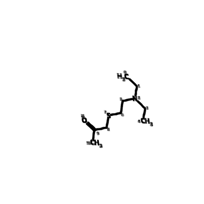 CCN(CC)CCSCC(C)=O